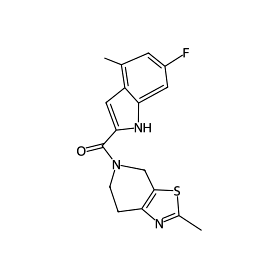 Cc1nc2c(s1)CN(C(=O)c1cc3c(C)cc(F)cc3[nH]1)CC2